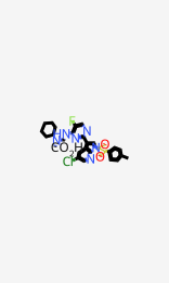 Cc1ccc(S(=O)(=O)n2cc(-c3ncc(F)c(NCN(C(=O)O)C4CCCCC4)n3)c3cc(Cl)cnc32)cc1